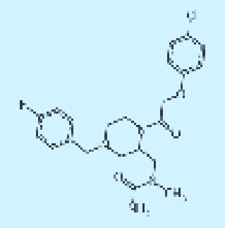 CN(CC1CN(Cc2ccc(F)cc2)CCN1C(=O)COc1ccc(Cl)cc1)C(N)=O